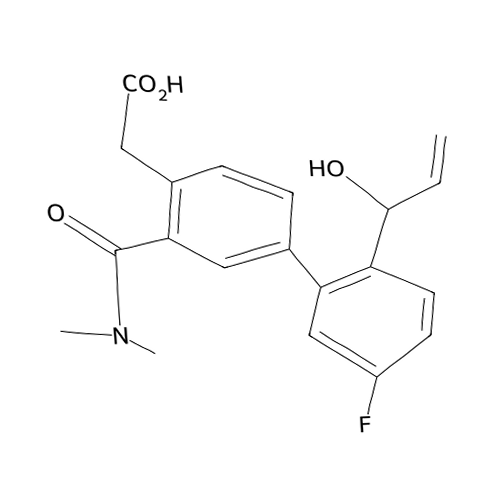 C=CC(O)c1ccc(F)cc1-c1ccc(CC(=O)O)c(C(=O)N(C)C)c1